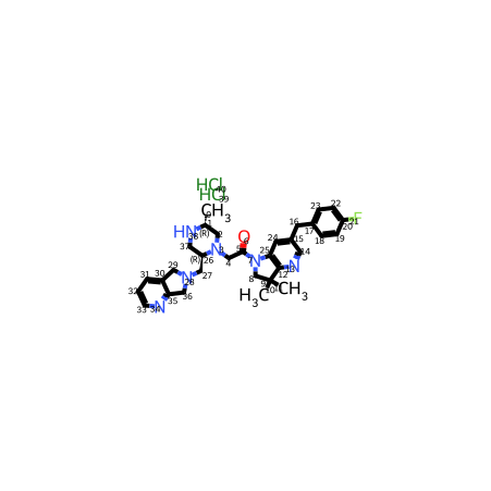 C[C@@H]1CN(CC(=O)N2CC(C)(C)c3ncc(Cc4ccc(F)cc4)cc32)[C@@H](CN2Cc3cccnc3C2)CN1.Cl.Cl